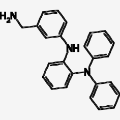 NCc1cccc(Nc2ccccc2N(c2ccccc2)c2ccccc2)c1